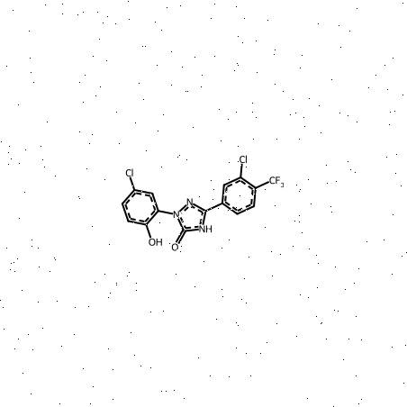 O=c1[nH]c(-c2ccc(C(F)(F)F)c(Cl)c2)nn1-c1cc(Cl)ccc1O